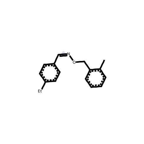 CCc1ccc(/[C]=N\OCc2ccccc2C)cc1